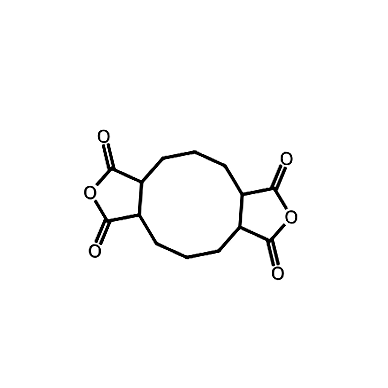 O=C1OC(=O)C2CCCC3C(=O)OC(=O)C3CCCC12